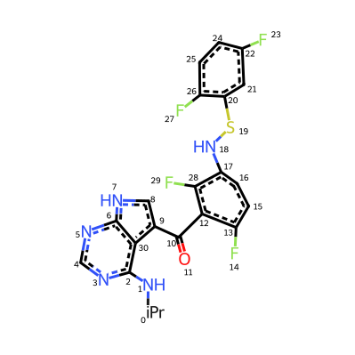 CC(C)Nc1ncnc2[nH]cc(C(=O)c3c(F)ccc(NSc4cc(F)ccc4F)c3F)c12